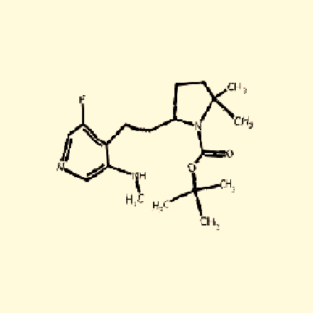 CNc1cncc(F)c1CCC1CCC(C)(C)N1C(=O)OC(C)(C)C